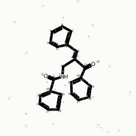 O=C(NC/C(=C\c1ccccc1)C(=O)c1ccccc1)c1ccccc1